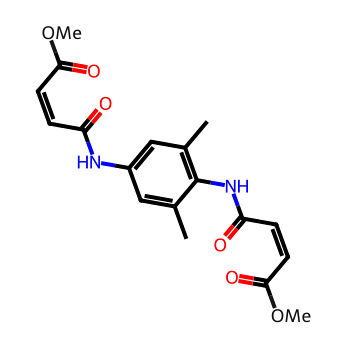 COC(=O)/C=C\C(=O)Nc1cc(C)c(NC(=O)/C=C\C(=O)OC)c(C)c1